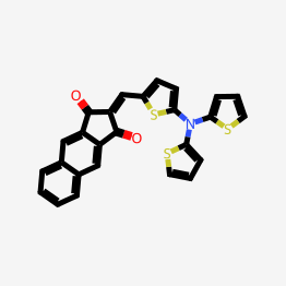 O=C1C(=Cc2ccc(N(c3cccs3)c3cccs3)s2)C(=O)c2cc3ccccc3cc21